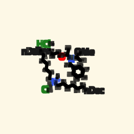 CCCCCCCCCCCCCCCC[N+](C)(C)CCCCCCCCCCCCCCCC.CCCCCCCCCCCCOC(C)N(Cc1ccccc1)C(C)OC.Cl.[Cl-]